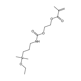 C=C(C)C(=O)OCCOC(=O)NCCC[Si](C)(C)OCC